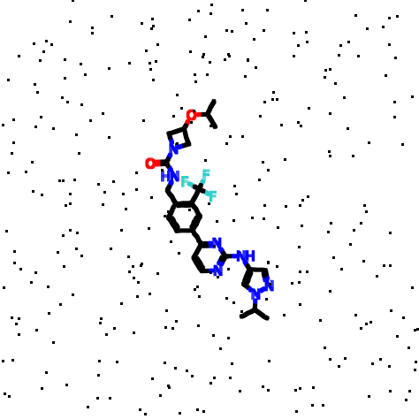 CC(C)OC1CN(C(=O)NCc2ccc(-c3ccnc(Nc4cnn(C(C)C)c4)n3)cc2C(F)(F)F)C1